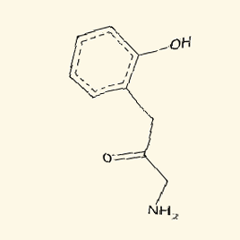 NCC(=O)Cc1ccccc1O